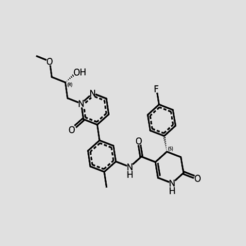 COC[C@H](O)Cn1nccc(-c2ccc(C)c(NC(=O)C3=CNC(=O)C[C@H]3c3ccc(F)cc3)c2)c1=O